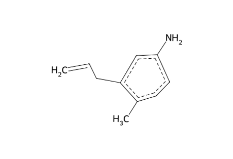 C=CCc1cc(N)ccc1C